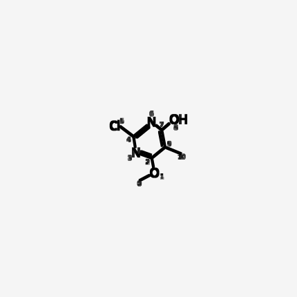 COc1nc(Cl)nc(O)c1C